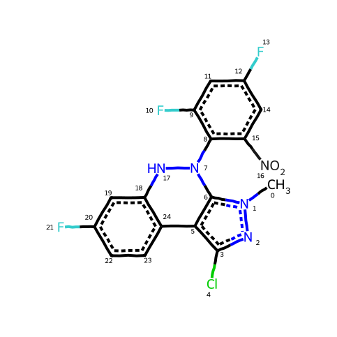 Cn1nc(Cl)c2c1N(c1c(F)cc(F)cc1[N+](=O)[O-])Nc1cc(F)ccc1-2